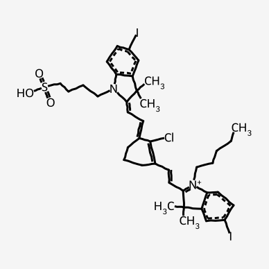 CCCCC[N+]1=C(/C=C/C2=C(Cl)C(=C/C=C3/N(CCCCS(=O)(=O)O)c4ccc(I)cc4C3(C)C)/CCC2)C(C)(C)c2cc(I)ccc21